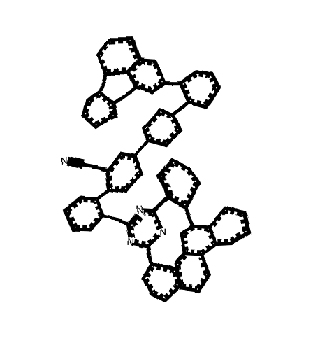 N#Cc1cc(-c2ccc(-c3ccccc3-c3cc4c5c(cccc5c3)-c3ccccc3-4)cc2)ccc1-c1ccccc1-c1nc(-c2ccccc2)nc(-c2ccccc2-c2cc3ccccc3c3ccccc23)n1